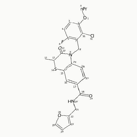 CCCOc1ccc(F)c(CN2C(=O)C(C)Sc3cc(C(=O)NCc4ccco4)ccc32)c1Cl